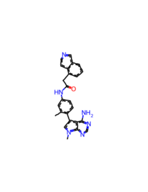 Cc1cc(NC(=O)Cc2cccc3cnccc23)ccc1-c1cn(C)c2ncnc(N)c12